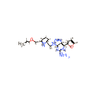 C=CCOCc1cccc(Cn2nnc3c(-c4ccco4)nc(N)nc32)n1